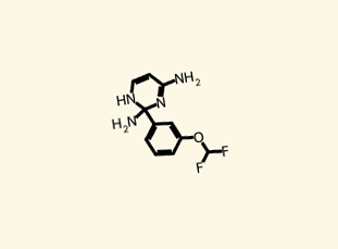 NC1=NC(N)(c2cccc(OC(F)F)c2)NC=C1